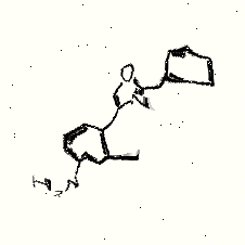 Cc1cc(N)ccc1-c1coc(-c2ccccc2)n1